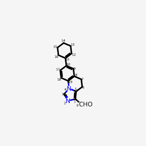 O=Cc1ncn2c1CCc1cc(C3=CCCCC3)ccc1-2